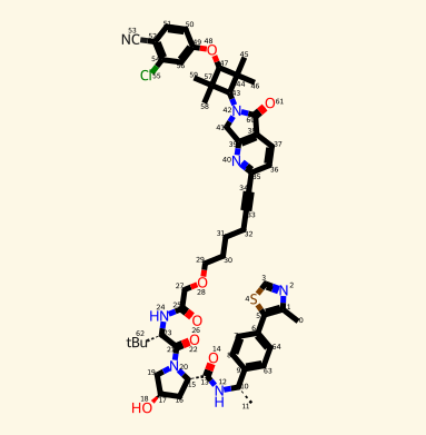 Cc1ncsc1-c1ccc([C@H](C)NC(=O)[C@@H]2C[C@@H](O)CN2C(=O)[C@@H](NC(=O)COCCCCC#Cc2ccc3c(n2)CN(C2C(C)(C)C(Oc4ccc(C#N)c(Cl)c4)C2(C)C)C3=O)C(C)(C)C)cc1